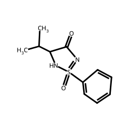 CC(C)C1NS(=O)(c2ccccc2)=NC1=O